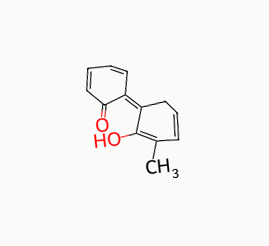 CC1=C(O)C(=C2C=CC=CC2=O)CC=C1